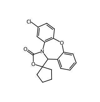 O=C1OC2(CCCC2)C2c3ccccc3Oc3ccc(Cl)cc3N12